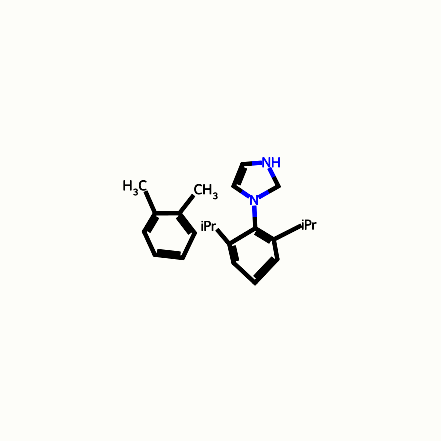 CC(C)c1cccc(C(C)C)c1N1C=CNC1.Cc1ccccc1C